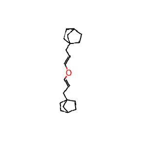 C(=COC=CCC12CCC(CC1)C2)CC12CCC(CC1)C2